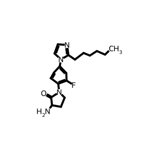 CCCCCCc1nccn1-c1ccc(N2CCC(N)C2=O)c(F)c1